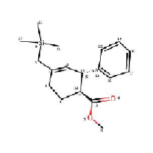 COC(=O)[C@H]1CCC(C[Si](C)(C)C)=C[C@@H]1c1ccccc1